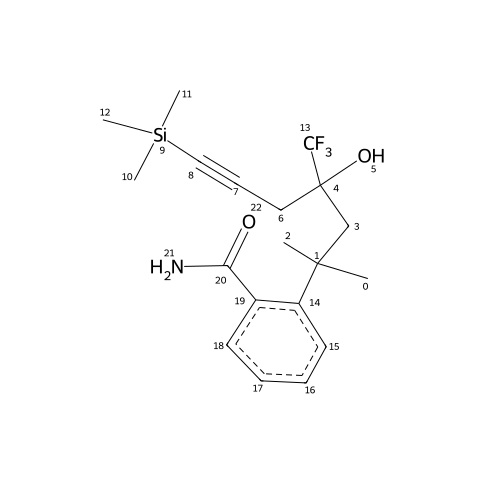 CC(C)(CC(O)(CC#C[Si](C)(C)C)C(F)(F)F)c1ccccc1C(N)=O